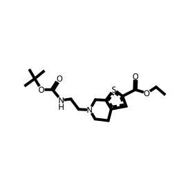 CCOC(=O)c1cc2c(s1)CN(CCNC(=O)OC(C)(C)C)CC2